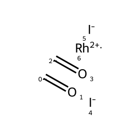 [C]=O.[C]=O.[I-].[I-].[Rh+2]